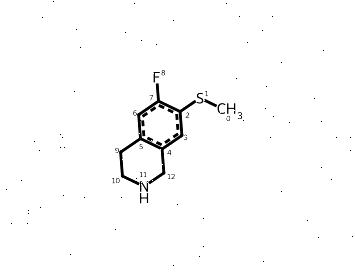 CSc1cc2c(cc1F)CCNC2